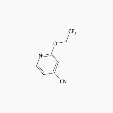 N#Cc1ccnc(OCC(F)(F)F)c1